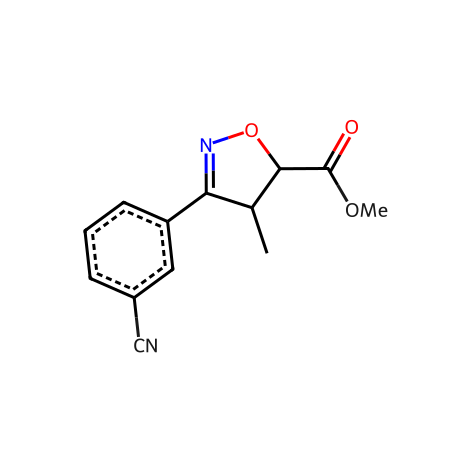 COC(=O)C1ON=C(c2cccc(C#N)c2)C1C